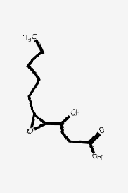 CCCCCC1OC1C(O)CC(=O)O